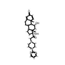 CC12C=CC(=O)C=C1CCC1C2[C@@H](O)CC2(C)C1CC[C@]2(O)C(=O)CN1CCN(c2ncccn2)CC1